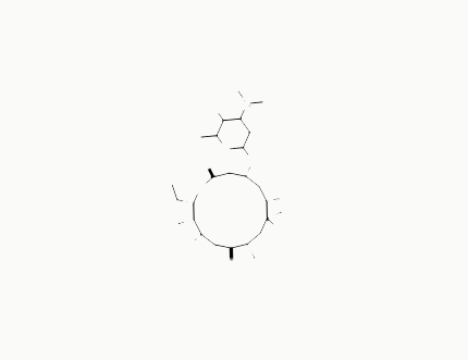 CC[C@H]1OC(=O)[C@H](C)[C@@H](OC2CC(N(C)C)C(O)C(C)O2)[C@H](C)[C@@H](O)[C@](C)(O)C[C@@H](C)C(=O)[C@H](C)[C@@H](O)[C@H]1C